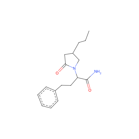 CCCC1CC(=O)N(C(CCc2ccccc2)C(N)=O)C1